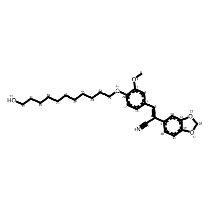 COc1cc(C=C(C#N)c2ccc3c(c2)OCO3)ccc1OCCCCCCCCCCCO